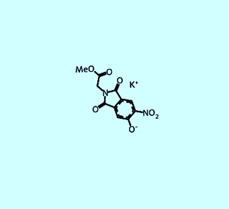 COC(=O)CN1C(=O)c2cc([O-])c([N+](=O)[O-])cc2C1=O.[K+]